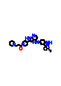 Cc1n[nH]c2ccc(Nc3ccnc4[nH]c(C5=CCN(C(=O)CCN6CCCCC6)CC5)cc34)cc12